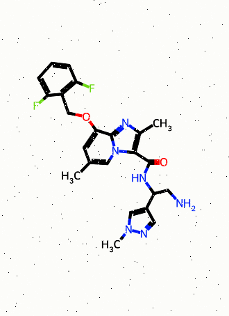 Cc1cc(OCc2c(F)cccc2F)c2nc(C)c(C(=O)NC(CN)c3cnn(C)c3)n2c1